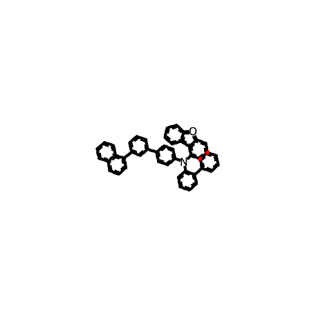 c1ccc(-c2ccccc2N(c2ccc(-c3cccc(-c4cccc5ccccc45)c3)cc2)c2cccc3oc4ccccc4c23)cc1